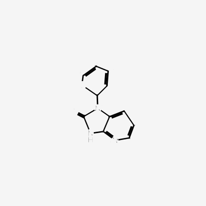 O=c1[nH]c2ncccc2n1C1C=CC=CO1